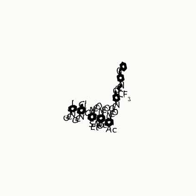 CC(=O)c1ccc(N=C=O)cc1.CCOc1ccc(N=C=O)cc1.CSc1ccc(N=C=O)cc1.O=C=Nc1ccc(Cl)c(C(F)(F)F)c1.O=C=Nc1ccc(Cl)cc1C(F)(F)F.O=C=Nc1ccc(I)cc1.O=C=Nc1ccc(Oc2ccccc2)cc1